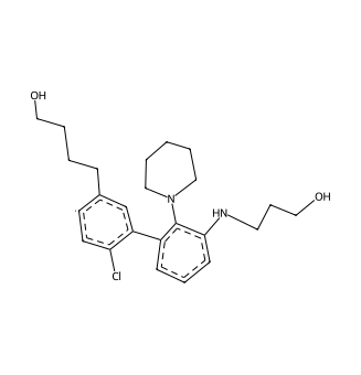 OCCCCc1[c]cc(Cl)c(-c2cccc(NCCCO)c2N2CCCCC2)c1